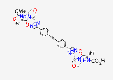 COC(=O)N[C@H](C(=O)N1CCOC[C@@H]1c1nc(-c2ccc(C#Cc3ccc(-c4c[nH]c([C@H]5COCCN5C(=O)[C@@H](NC(=O)O)C(C)C)n4)cc3)cc2)c[nH]1)C(C)C